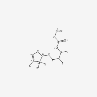 CCCCCCCCCCCC(=O)OC(C)C(C)CCC1CC=C(C)C1(C)C